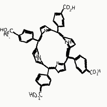 O=C(O)c1ccc(-c2c3nc(c(-c4ccc(C(=O)O)cc4)c4ccc([nH]4)c(-c4ccc(C(=O)O)cc4)c4nc(c(-c5ccc(C(=O)O)cc5)c5ccc2[nH]5)C=C4)C=C3)cc1.[Al]